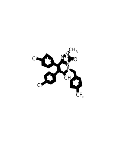 CC1C(c2ccc(Cl)cc2)=C(c2ccc(Cl)cc2)c2nn(C)c(=O)n2N1Cc1ccc(C(F)(F)F)cc1